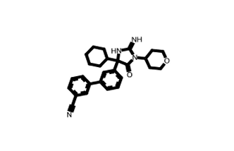 N#Cc1cccc(-c2cccc(C3(C4CCCCC4)NC(=N)N(C4CCOCC4)C3=O)c2)c1